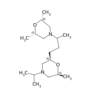 CC(C)N1C[C@@H](CCC(C)N2C[C@@H](C)O[C@@H](C)C2)O[C@@H](C)C1